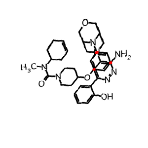 CN(C(=O)N1CCC(Oc2cccc(N3C4COCC3CN(c3cc(-c5ccccc5O)nnc3N)C4)c2)CC1)C1CC=CCC1